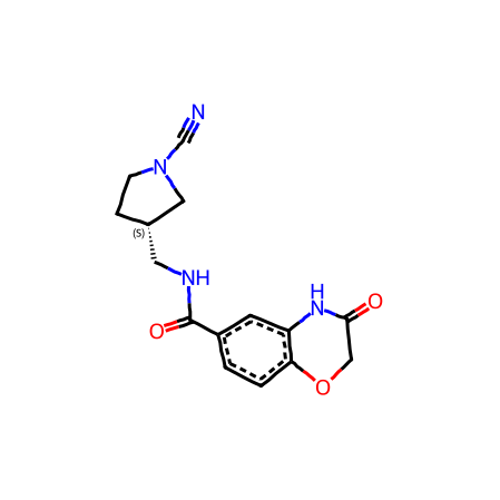 N#CN1CC[C@@H](CNC(=O)c2ccc3c(c2)NC(=O)CO3)C1